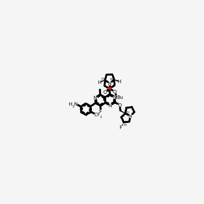 Cc1nc(-c2cc(N)ccc2C(F)(F)F)c(F)c2nc(OC[C@@]34CCCN3C[C@H](F)C4)nc(N3C[C@H]4CC[C@@H](C3)N4C(=O)OC(C)(C)C)c12